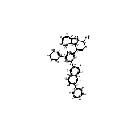 ClC1CC=C(c2nc(C3=CCCC=C3)nc(-c3ccc4cc(-c5ccccc5)ccc4c3)n2)c2c1oc1ccccc21